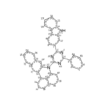 c1ccc(-c2nc(-c3ccc4c(c3)[nH]c3ccccc34)nc(N3c4cc5ccccc5cc4-c4cccc5cccc3c45)n2)cc1